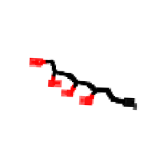 CCCC(O)CC(O)CC(O)CO